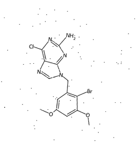 COc1cc(Cn2cnc3c(Cl)nc(N)nc32)c(Br)c(OC)c1